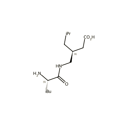 CCC(C)[C@H](N)C(=O)NC[C@H](CC(=O)O)CC(C)C